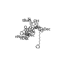 CCCCCCCCCCC[C@H](CC(=O)NC1C(OC[C@@H](NC(=O)C[C@@H](CCCCCCCCCCC)OC(=O)CCCCCCCCC)C(=O)OCc2ccccc2)OC(CO[Si](C)(C)C(C)(C)C)C(O)C1OC(=O)C[C@@H](CCCCCCCCCCC)OC(=O)CCCCCCCCc1ccccc1)OCCCCCCCCCC